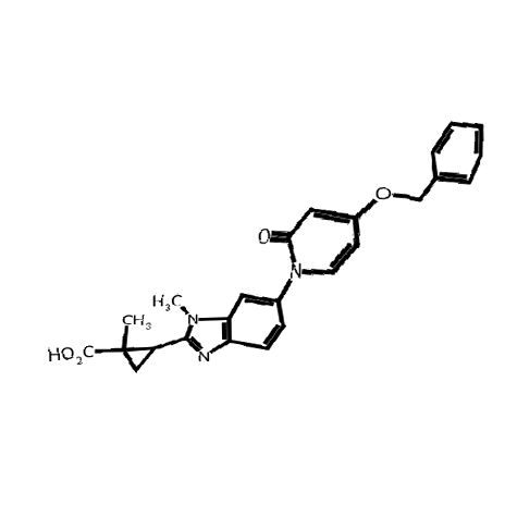 Cn1c(C2CC2(C)C(=O)O)nc2ccc(-n3ccc(OCc4ccccc4)cc3=O)cc21